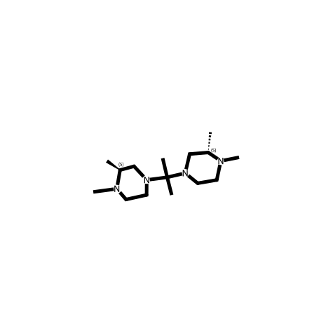 C[C@H]1CN(C(C)(C)N2CCN(C)[C@@H](C)C2)CCN1C